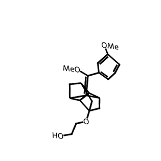 CO/C(=C1/C2CC3(OCCO)CC4CC1C3C42)c1cccc(OC)c1